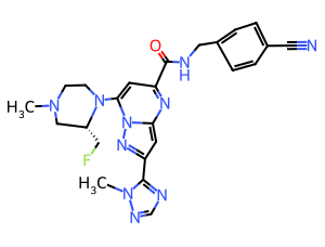 CN1CCN(c2cc(C(=O)NCc3ccc(C#N)cc3)nc3cc(-c4ncnn4C)nn23)[C@H](CF)C1